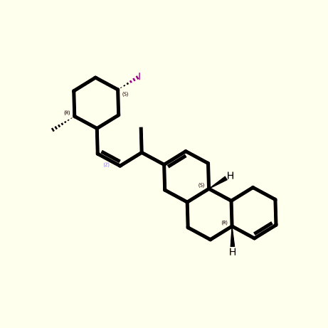 CC(/C=C\C1C[C@@H](I)CC[C@H]1C)C1=CC[C@H]2C(CC[C@H]3C=CCCC23)C1